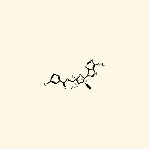 C#C[C@@H]1[C@H](n2cnc3c(N)ncnc32)O[C@](F)(COC(=O)c2cccc(Cl)c2)[C@H]1OC(C)=O